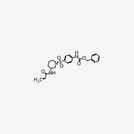 C=CC(=O)NC1CCCN(S(=O)(=O)c2ccc(NC(=O)OCc3ccccc3)cc2)C1